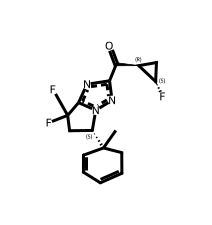 CC1([C@@H]2CC(F)(F)c3nc(C(=O)[C@H]4C[C@@H]4F)nn32)C=CC=CC1